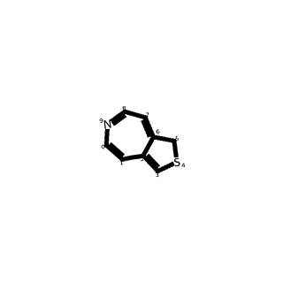 C1=CC2=CSCC2=CC=N1